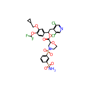 NS(=O)(=O)c1cccc(S(=O)(=O)N2CCOC(C(=O)OC(Cc3c(Cl)cncc3Cl)c3ccc(OC(F)F)c(OCC4CC4)c3)C2)c1